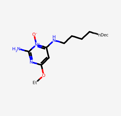 CCCCCCCCCCCCCCNc1cc(OCC)nc(N)[n+]1[O-]